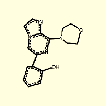 Oc1ccccc1-c1cn2ccnc2c(N2CCOCC2)n1